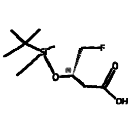 CC(C)(C)[Si](C)(C)O[C@H](CF)CC(=O)O